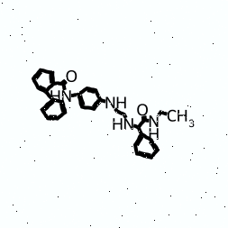 CCNC(=O)C(NCCNc1ccc(NC(=O)c2ccccc2-c2ccccc2)cc1)c1ccccc1